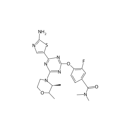 CC1OCCN(c2nc(Oc3ccc(C(=O)N(C)C)cc3F)nc(-c3cnc(N)s3)n2)[C@H]1C